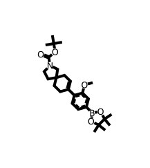 COc1cc(B2OC(C)(C)C(C)(C)O2)ccc1C1=CCC2(CC1)CCN(C(=O)OC(C)(C)C)C2